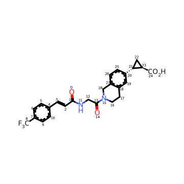 O=C(/C=C/c1ccc(C(F)(F)F)cc1)NCC(=O)N1CCc2cc([C@@H]3C[C@H]3C(=O)O)ccc2C1